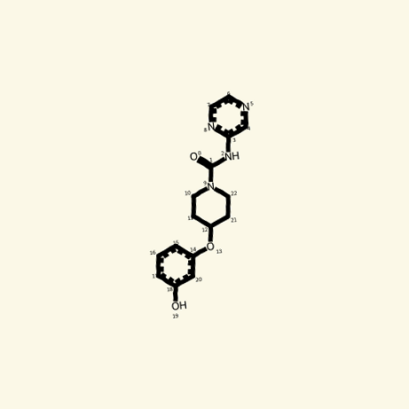 O=C(Nc1cnccn1)N1CCC(Oc2cccc(O)c2)CC1